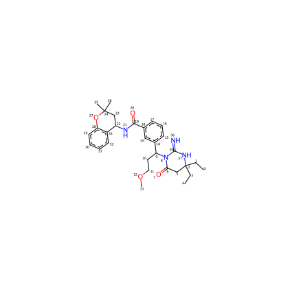 CCC1(CC)CC(=O)N(C(CCOC)c2cccc(C(=O)NC3CC(C)(C)Oc4ccccc43)c2)C(=N)N1